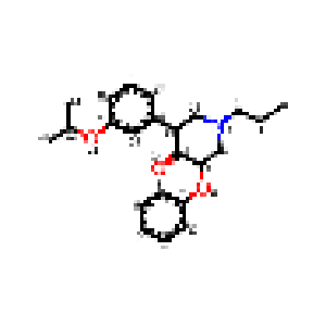 CCCN1CC(Oc2ccccc2)C(=O)C(c2cccc(OC(C)C)c2)C1